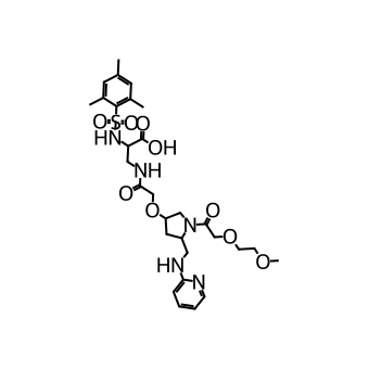 COCCOCC(=O)N1CC(OCC(=O)NCC(NS(=O)(=O)c2c(C)cc(C)cc2C)C(=O)O)CC1CNc1ccccn1